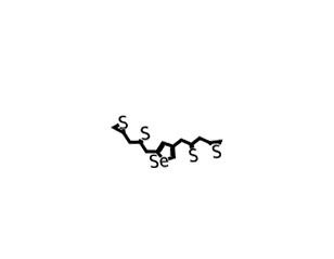 S=C(Cc1c[se]c(CC(=S)CC2CS2)c1)CC1CS1